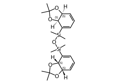 CC1(C)O[C@H]2C=CC=C([Si](C)(C)O[Si](C)(C)C3=CC=C[C@@H]4OC(C)(C)O[C@H]34)[C@H]2O1